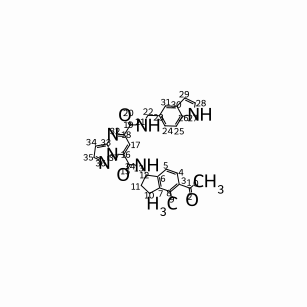 CC(=O)c1ccc2c(c1C)CC[C@@H]2NC(=O)c1cc(C(=O)NCc2ccc3[nH]ccc3c2)nc2ccnn12